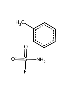 Cc1ccccc1.NS(=O)(=O)F